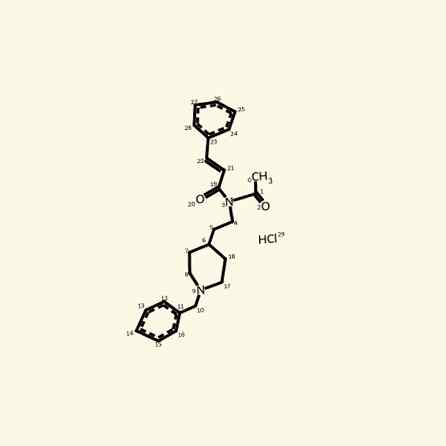 CC(=O)N(CCC1CCN(Cc2ccccc2)CC1)C(=O)C=Cc1ccccc1.Cl